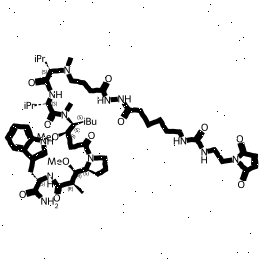 CC[C@H](C)[C@@H]([C@@H](CC(=O)N1CCC[C@H]1[C@H](OC)[C@@H](C)C(=O)N[C@@H](Cc1c[nH]c2ccccc12)C(N)=O)OC)N(C)C(=O)[C@@H](NC(=O)[C@H](C(C)C)N(C)CCCC(=O)NNC(=O)CCCCCNC(=O)NCCN1C(=O)C=CC1=O)C(C)C